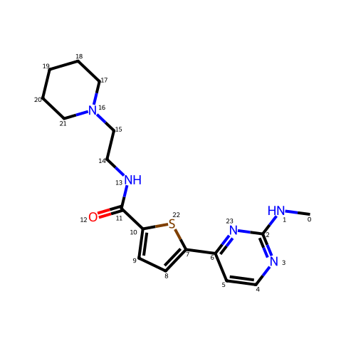 CNc1nccc(-c2ccc(C(=O)NCCN3CCCCC3)s2)n1